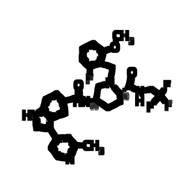 COc1cccc(F)c1CN1C[C@H](NC(=O)c2ccc3[nH]cc(-c4ccnc(C)c4)c3c2)CC[C@H]1C(=O)NCC(F)(F)F